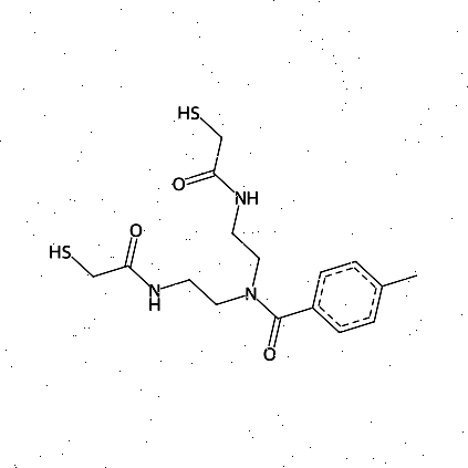 Cc1ccc(C(=O)N(CCNC(=O)CS)CCNC(=O)CS)cc1